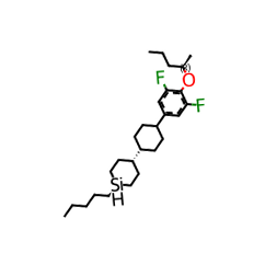 CCCCC[Si@H]1CC[C@H](C2CCC(c3cc(F)c(O[C@H](C)CCC)c(F)c3)CC2)CC1